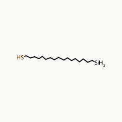 [SiH3]CCCCCCCCCCCCCCCCCS